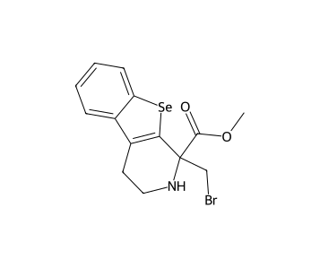 COC(=O)C1(CBr)NCCc2c1[se]c1ccccc21